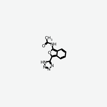 CC(=O)Nc1oc(-c2nnn[nH]2)c2ccccc12